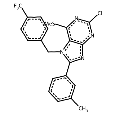 CSc1nc(Cl)nc2nc(-c3cccc(C)c3)n(Cc3ccc(C(F)(F)F)cc3)c12